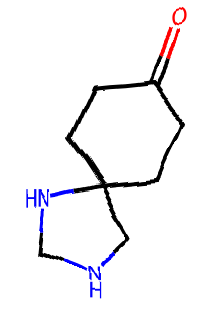 O=C1CCC2(CC1)CNCN2